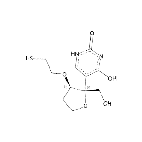 O=c1nc(O)c([C@]2(CO)OCC[C@H]2OCCS)c[nH]1